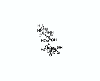 Nc1nc2c(c(=O)[nH]1)N=C([C@H](O)[C@H](O)COP(=O)(O)OP(=O)(O)OP(=O)(O)O)CN2